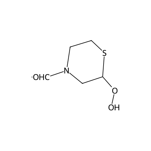 O=[C]N1CCSC(OO)C1